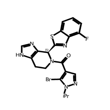 CC(C)n1ncc(C(=O)N2CCc3[nH]cnc3[C@H]2c2nc3c(F)cccc3s2)c1Br